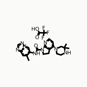 Cc1cc2ncnn2cc1NC(=O)N1CCc2c(N3CCNC(C)(C)C3)ccnc21.O=C(O)C(F)(F)F